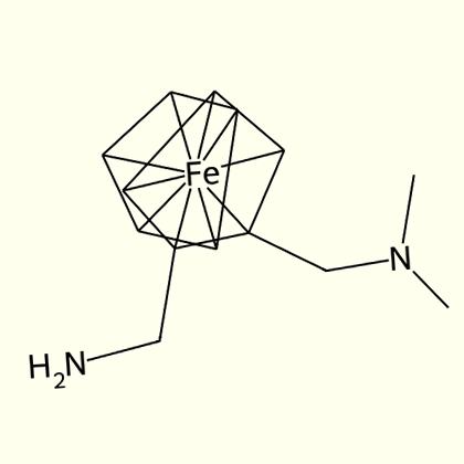 CN(C)C[C]12[CH]3[CH]4[CH]5[C]1(CN)[Fe]45321678[CH]2[CH]1[CH]6[CH]7[CH]28